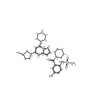 CS(=O)(=O)Nc1ccc(Cl)cc1C(=O)N1CCCC[C@H]1c1cc2nc(N3CC[C@@H](F)C3)cc(N3CCOCC3)n2n1